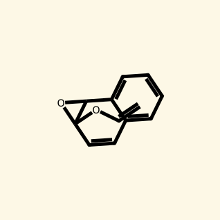 C=COC12C=Cc3ccccc3C1O2